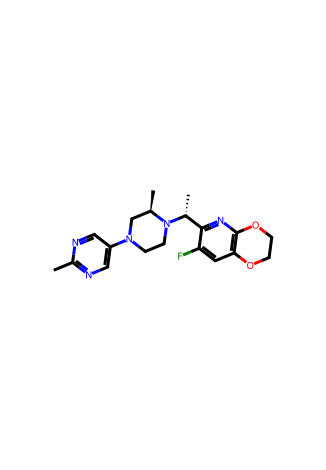 Cc1ncc(N2CCN([C@H](C)c3nc4c(cc3F)OCCO4)[C@H](C)C2)cn1